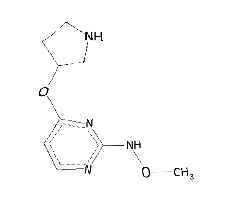 CONc1nccc(OC2CCNC2)n1